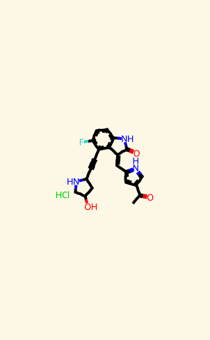 CC(=O)c1c[nH]c(C=C2C(=O)Nc3ccc(F)c(C#CC4CC(O)CN4)c32)c1.Cl